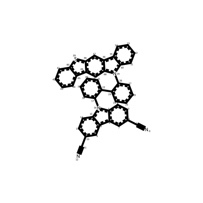 N#Cc1ccc2c(c1)c1cc(C#N)ccc1n2-c1ccccc1-c1ccccc1-n1c2ccccc2c2cc3sc4ccccc4c3cc21